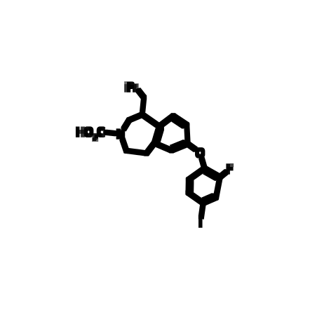 CC(C)CC1CN(C(=O)O)CCc2cc(Oc3ccc(I)cc3F)ccc21